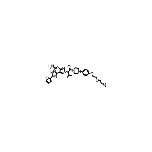 COCCOCCOc1ccc(N2CCN(C(=O)C(C(C)C)n3cc4c(nc(N)n5nc(-c6ccco6)nc45)n3)CC2)cc1